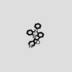 c1ccc(N2c3ccccc3B3c4c(cccc42)-c2oc4cnccc4c23)cc1